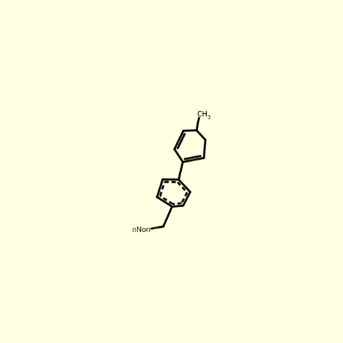 CCCCCCCCCCc1ccc(C2=CCC(C)C=C2)cc1